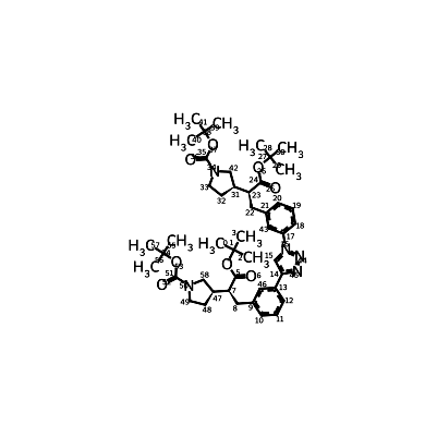 CC(C)(C)OC(=O)[C@@H](Cc1cccc(-c2cn(-c3cccc(C[C@H](C(=O)OC(C)(C)C)[C@H]4CCN(C(=O)OC(C)(C)C)C4)c3)nn2)c1)[C@H]1CCN(C(=O)OC(C)(C)C)C1